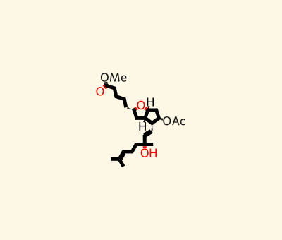 COC(=O)CCCC[C@H]1C[C@@H]2[C@@H](C=CC(C)(O)CCC=C(C)C)[C@H](OC(C)=O)C[C@@H]2O1